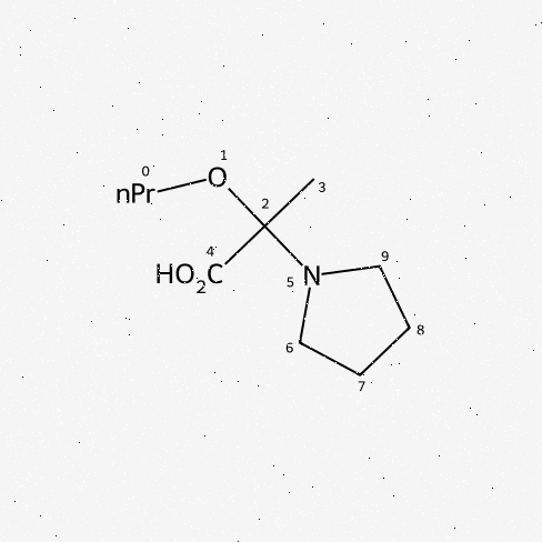 CCCOC(C)(C(=O)O)N1CCCC1